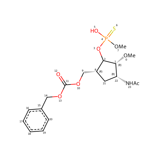 CO[C@H]1C(OP(O)(=S)OC)[C@@H](COC(=O)OCc2ccccc2)C[C@H]1NC(C)=O